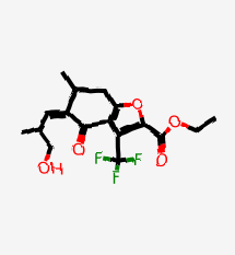 CCOC(=O)c1oc2c(c1C(F)(F)F)C(=O)C(=CC(C)CO)C(C)C2